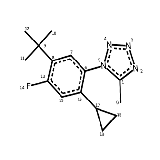 Cc1nnnn1-c1cc(C(C)(C)C)c(F)cc1C1CC1